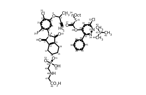 C#CC(C)Oc1cc(N2C(=O)C3=C(CCCC3)C2=O)c(F)cc1Cl.CCCCCCCCSC(=O)Oc1cc(Cl)nnc1-c1ccccc1.C[S+](C)C.O=C(O)CNCP(=O)([O-])O